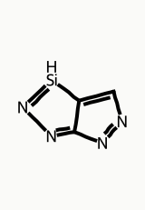 C1=C2[SiH]=NN=C2N=N1